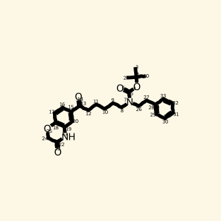 CC(C)(C)OC(=O)N(CCCCCC(=O)c1ccc2c(c1)NC(=O)CO2)CCc1ccccc1